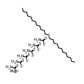 CCCCCCCCCCCCSCCCCCCCCCCCC.NC(=S)[S-].NC(=S)[S-].NC(=S)[S-].NC(=S)[S-].NC(=S)[S-].NC(=S)[S-].[Mo+6]